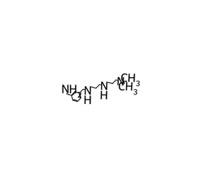 CN(C)CCCNCCCNCc1cccc(CN)c1